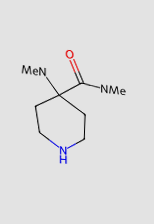 CNC(=O)C1(NC)CCNCC1